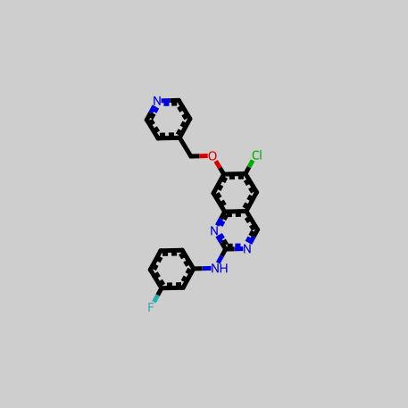 Fc1cccc(Nc2ncc3cc(Cl)c(OCc4ccncc4)cc3n2)c1